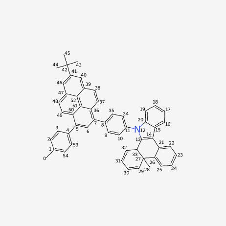 Cc1ccc(-c2cc(-c3ccc(-n4c5c(c6ccccc64)-c4ccccc4C4(C)C=CC=CC54)cc3)c3ccc4cc(C(C)(C)C)cc5ccc2c3c54)cc1